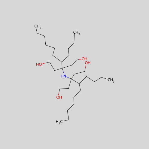 CCCCCCC(CCCC)C(CCO)(CCO)NC(CCO)(CCO)C(CCCC)CCCCCC